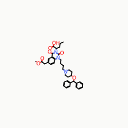 CCCC(C(=O)O)n1c(=O)c2cc(CC(=O)OC)ccc2n(CCCCN2CCC(OC(c3ccccc3)c3ccccc3)CC2)c1=O